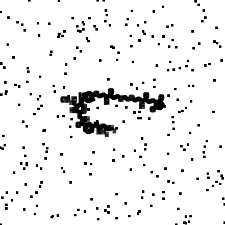 NC/C(N)=N/c1cccc(C(=O)NCC(=O)N[C@@H](CC(=O)O)C(=O)Nc2ccc(OCCNC(=O)CCOCCOCCNC(=O)CCN3C(=O)C=CC3=O)cc2)c1